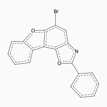 Brc1cc2nc(-c3ccccc3)oc2c2c1oc1ccccc12